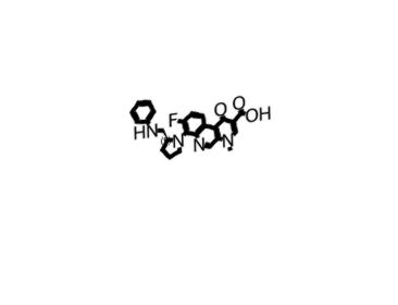 Cn1cc(C(=O)O)c(=O)c2c3ccc(F)c(N4CCC[C@H]4CNc4ccccc4)c3ncc21